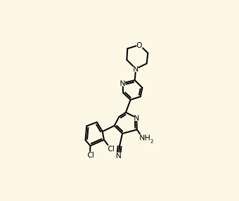 N#Cc1c(-c2cccc(Cl)c2Cl)cc(-c2ccc(N3CCOCC3)nc2)nc1N